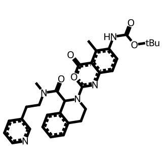 Cc1c(NC(=O)OC(C)(C)C)ccc2nc(N3CCc4ccccc4C3C(=O)N(C)CCc3cccnc3)oc(=O)c12